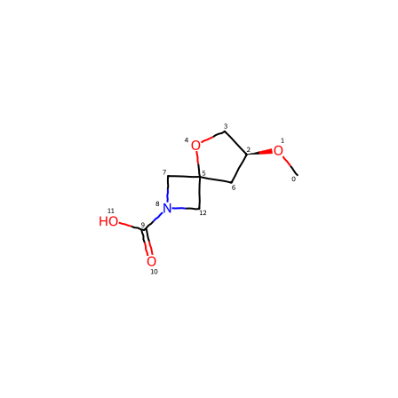 CO[C@@H]1COC2(C1)CN(C(=O)O)C2